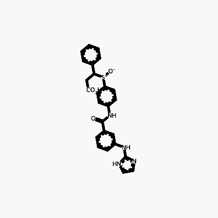 O=C(O)CC(c1ccccc1)[S+]([O-])c1ccc(NC(=O)c2cccc(Nc3ncc[nH]3)c2)cc1